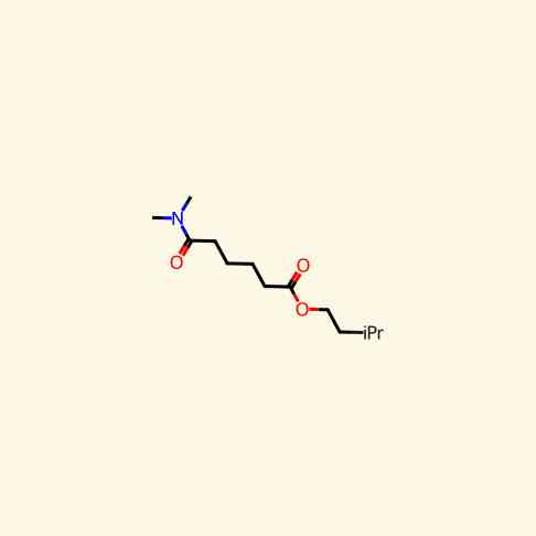 CC(C)CCOC(=O)CCCCC(=O)N(C)C